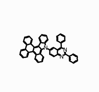 c1ccc(-c2nc(-c3ccccc3)c3cc(-n4c5ccccc5c5c6c7ccccc7c7ccccc7c6c6ccccc6c54)ccc3n2)cc1